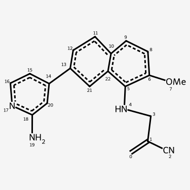 C=C(C#N)CNc1c(OC)ccc2ccc(-c3ccnc(N)c3)cc12